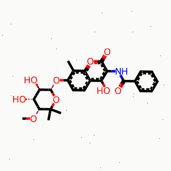 CO[C@@H]1[C@H](O)[C@@H](O)[C@H](Oc2ccc3c(O)c(NC(=O)c4ccccc4)c(=O)oc3c2C)OC1(C)C